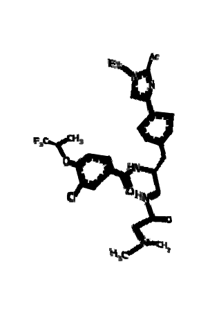 CCn1cc(-c2ccc(C[C@@H](CNC(=O)CN(C)C)NC(=O)c3ccc(O[C@H](C)C(F)(F)F)c(Cl)c3)cc2)nc1C(C)=O